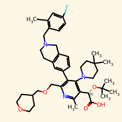 Cc1cc(F)ccc1CN1CCc2cc(-c3c(COCC4CCOCC4)nc(C)c([C@H](OC(C)(C)C)C(=O)O)c3N3CCC(C)(C)CC3)ccc2C1